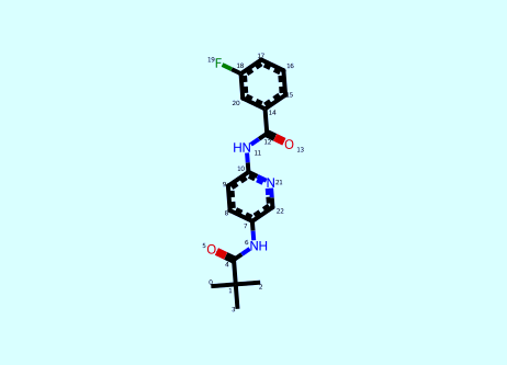 CC(C)(C)C(=O)Nc1ccc(NC(=O)c2cccc(F)c2)nc1